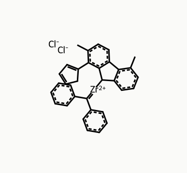 Cc1ccc2c(c1C1=CC=CC1)[CH]([Zr+2]=[C](c1ccccc1)c1ccccc1)c1cccc(C)c1-2.[Cl-].[Cl-]